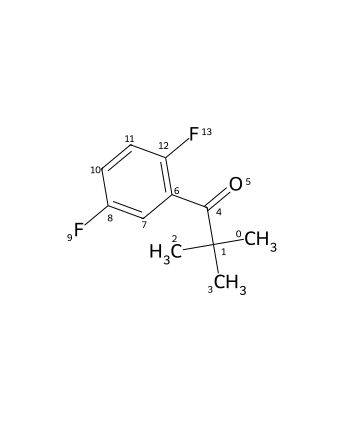 CC(C)(C)C(=O)c1cc(F)ccc1F